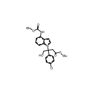 CC(C)(C)OC(=O)CC(CO)(c1ccc(Cl)cc1)n1ccc2c(NC(=O)OC(C)(C)C)cccc21